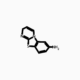 Nc1ccc2c(c1)N1C=CCN=C1S2